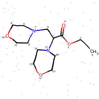 CCOC(=O)C(CN1CCOCC1)N1CCOCC1